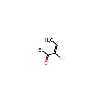 CC=C(CC)C(=O)CC